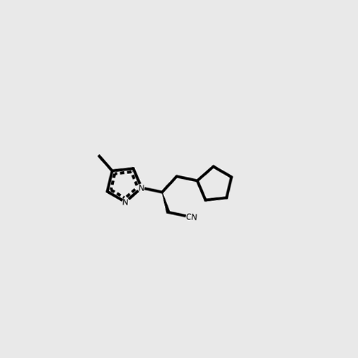 Cc1cnn([C@H](CC#N)CC2CCCC2)c1